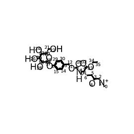 C=[N+]=CC(=O)CC[C@H](NC(=O)OCc1ccc(O[C@@H]2O[C@H](CO)[C@@H](O)[C@H](O)[C@H]2O)cc1)C(=O)OCC